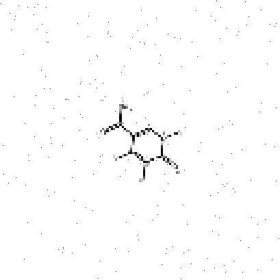 Cc1c(C(N)=O)cn(C)c(=O)c1C